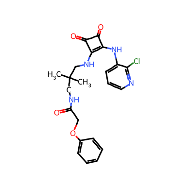 CC(C)(CNC(=O)COc1ccccc1)CNc1c(Nc2cccnc2Cl)c(=O)c1=O